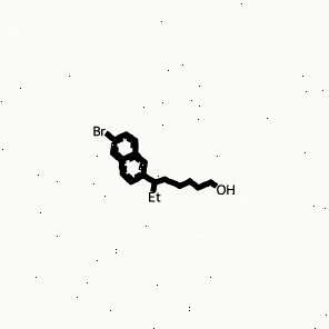 CCC(CCCCCO)c1ccc2cc(Br)ccc2c1